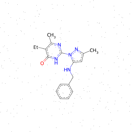 CCc1c(C)nc(-n2nc(C)cc2NCc2ccccc2)[nH]c1=O